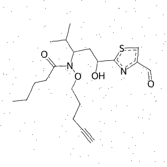 C#CCCCON(C(=O)CCCC)C(CC(O)c1nc(C=O)cs1)C(C)C